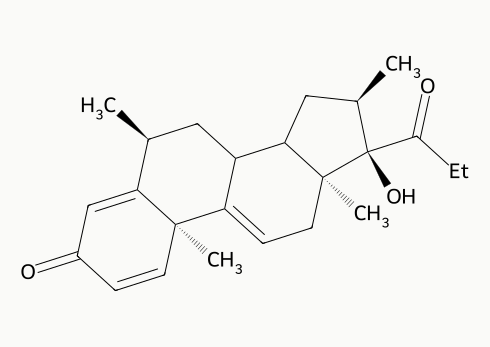 CCC(=O)[C@@]1(O)[C@H](C)CC2C3C[C@H](C)C4=CC(=O)C=C[C@]4(C)C3=CC[C@@]21C